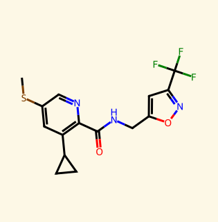 CSc1cnc(C(=O)NCc2cc(C(F)(F)F)no2)c(C2CC2)c1